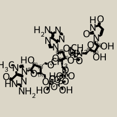 COC[C@H]1[C@@H](O)[C@H](n2c[n+](C)c3c(=O)[nH]c(N)nc32)O[C@@H]1COP(=O)(O)OP(=O)(O)OP(=O)(O)OC[C@H]1O[C@@H](n2cnc3c(N)ncnc32)[C@H](OC)[C@@H]1OS(=O)(=O)NC[C@H]1O[C@@H](n2ccc(=O)[nH]c2=O)[C@H](O)[C@@H]1O